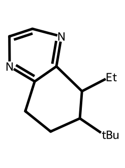 CCC1c2nccnc2CCC1C(C)(C)C